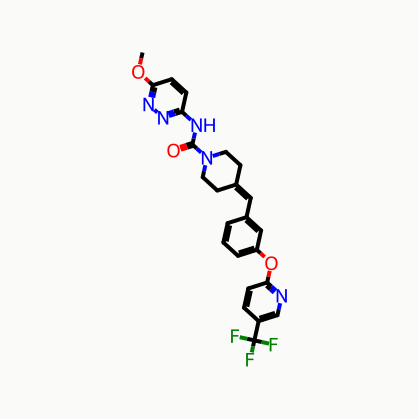 COc1ccc(NC(=O)N2CCC(=Cc3cccc(Oc4ccc(C(F)(F)F)cn4)c3)CC2)nn1